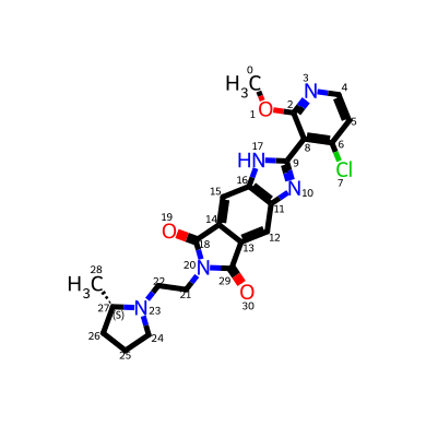 COc1nccc(Cl)c1-c1nc2cc3c(cc2[nH]1)C(=O)N(CCN1CCC[C@@H]1C)C3=O